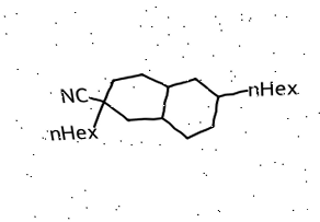 CCCCCCC1CCC2CC(C#N)(CCCCCC)CCC2C1